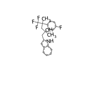 CC(O)(Cc1cc2ccccc2[nH]1)CC(C)(c1ccc(F)cc1)C(F)(F)F